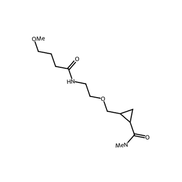 CNC(=O)C1CC1COCCNC(=O)CCCOC